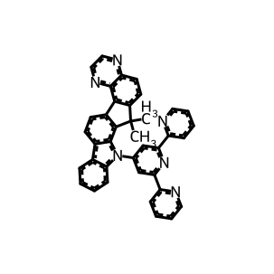 CC1(C)c2ccc3nccnc3c2-c2ccc3c4ccccc4n(-c4cc(-c5ccccn5)nc(-c5ccccn5)c4)c3c21